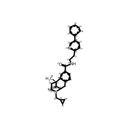 C[C@H]1C2Cc3ccc(C(=O)NCCc4ccc(-c5ccccc5)cn4)cc3[C@@]1(C)CCN2CC1CC1